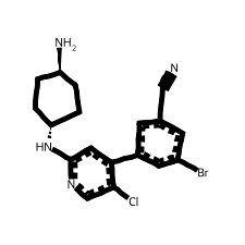 N#Cc1cc(Br)cc(-c2cc(N[C@H]3CC[C@H](N)CC3)ncc2Cl)c1